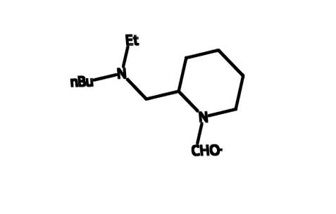 CCCCN(CC)CC1CCCCN1[C]=O